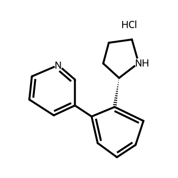 Cl.c1cncc(-c2ccccc2[C@@H]2CCCN2)c1